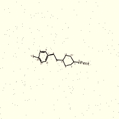 CCCCCC1CCC(CCc2ccc(I)cc2)CC1